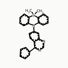 C[Si]1(C)c2ccccc2N(c2ccc3c(-c4ccccc4)ncnc3c2)c2ccccc21